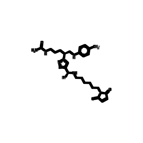 [CH2]c1ccc(NC[C@H](CCCNC(N)=O)n2cc([C@@H](NCCCCCCN3C(=O)C=CC3=O)C(C)C)nn2)cc1